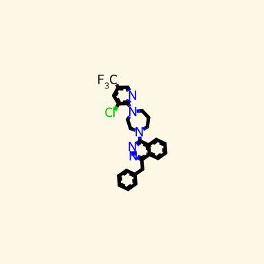 FC(F)(F)c1cnc(N2CCCN(c3nnc(Cc4ccccc4)c4ccccc34)CC2)c(Cl)c1